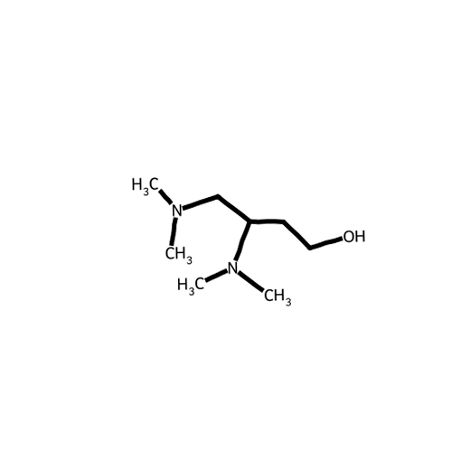 CN(C)CC(CCO)N(C)C